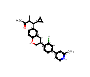 COC(=O)[C@@H](C)[C@H](c1ccc2c(c1)CC(c1ccc(-c3ccnc(OC)c3)cc1F)CO2)C1CC1